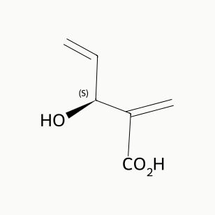 C=C[C@H](O)C(=C)C(=O)O